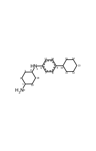 NC1CCC(Nc2ccc(C3CCCCC3)cc2)CC1